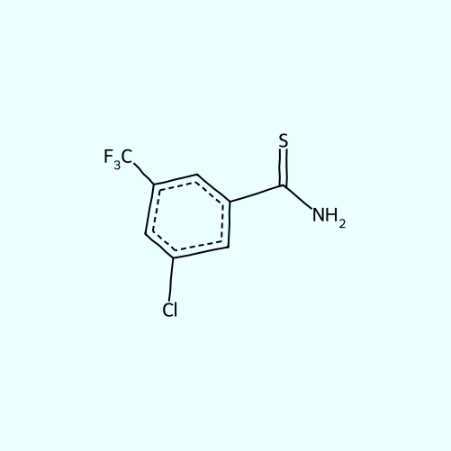 NC(=S)c1cc(Cl)cc(C(F)(F)F)c1